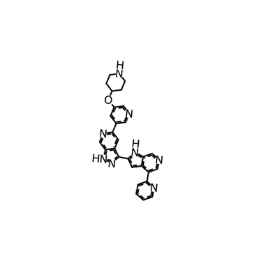 c1ccc(-c2cncc3[nH]c(-c4n[nH]c5cnc(-c6cncc(OC7CCNCC7)c6)cc45)cc23)nc1